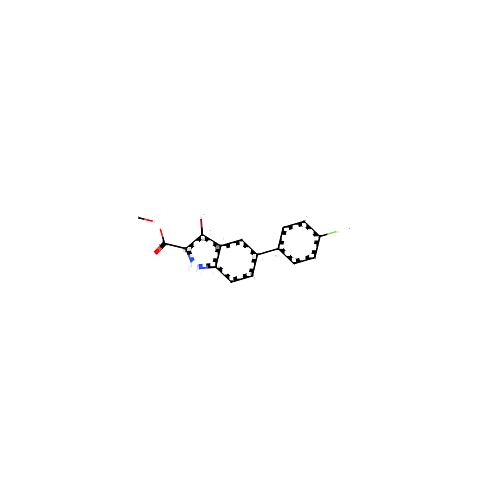 COC(=O)c1[nH]c2ccc(-c3ccc(F)cc3)cc2c1Br